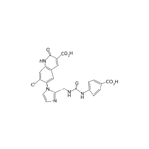 O=C(NCc1nccn1-c1cc2cc(C(=O)O)c(=O)[nH]c2cc1Cl)Nc1ccc(C(=O)O)cc1